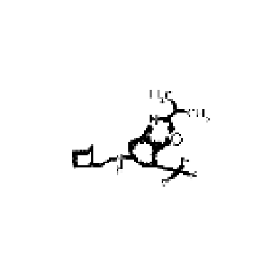 CC(C)c1nc2cc(NCCC3CCC3)cc(C(F)(F)F)c2o1